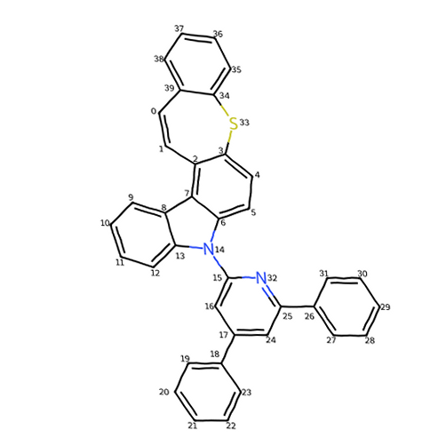 C1=Cc2c(ccc3c2c2ccccc2n3-c2cc(-c3ccccc3)cc(-c3ccccc3)n2)Sc2ccccc21